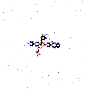 CN1CCC(N2CCN(C(=O)[C@@H](Cc3cc(Cl)c(N)c(C(F)(F)F)c3)OC(=O)N3CCC(N4CCc5ccccc5NC4=O)CC3)[C@H](C(=O)OCC(=O)N(C)C)C2)CC1